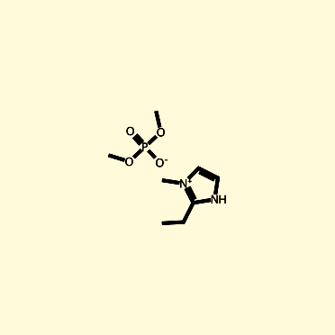 CCc1[nH]cc[n+]1C.COP(=O)([O-])OC